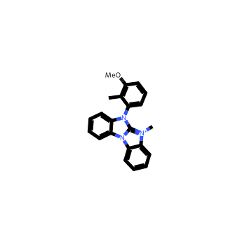 COc1cccc(-n2c3ccccc3n3c4ccccc4[n+](C)c23)c1C